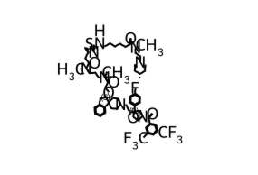 CN(CCN1CC[CH]CC1)C(=O)CCCCCNc1nc(CC(=O)N(C)CCCN(C)C(=O)CO[C@H]2Cc3ccccc3C23CCN(CC[C@@]2(c4ccc(F)cc4)CN(C(=O)c4cc(C(F)(F)F)cc(C(F)(F)F)c4)CO2)CC3)cs1